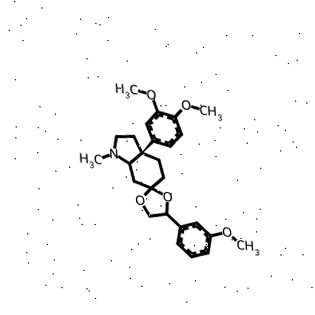 COc1cccc(C2COC3(CC[C@@]4(c5ccc(OC)c(OC)c5)CCN(C)C4C3)O2)c1